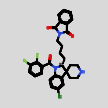 O=C1c2ccccc2C(=O)N1CCCC[C@H]1N(C(=O)c2cccc(F)c2F)c2ccc(Cl)cc2C12CCNCC2